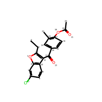 CCc1oc2cc(Cl)ccc2c1C(=O)c1ccc(OC(C)=O)c(C)c1